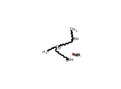 CCCCCC[C@@H](O)C/C=C\CCCCCCCC(=O)O[C@@H](C/C=C\CCCCCCCC(=O)O)CCCCCC.[NaH].[NaH]